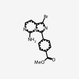 COC(=O)c1ccc(-c2nc(Br)c3ccnc(N)n23)cc1